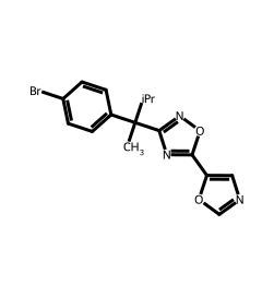 CC(C)C(C)(c1ccc(Br)cc1)c1noc(-c2cnco2)n1